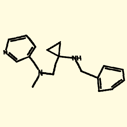 CN(CC1(NCc2ccccc2)CC1)c1cccnc1